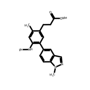 COC(=O)CCc1cc(-c2ccc3c(cnn3C)c2)c(NC(C)C)cc1C